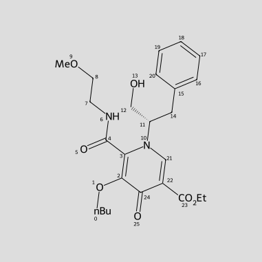 CCCCOc1c(C(=O)NCCOC)n([C@H](CO)Cc2ccccc2)cc(C(=O)OCC)c1=O